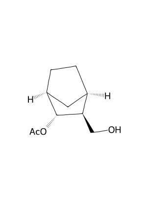 CC(=O)O[C@@H]1[C@H]2CC[C@H](C2)[C@H]1CO